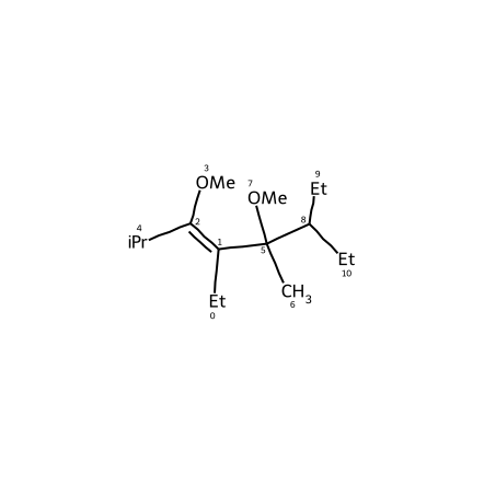 CC/C(=C(/OC)C(C)C)C(C)(OC)C(CC)CC